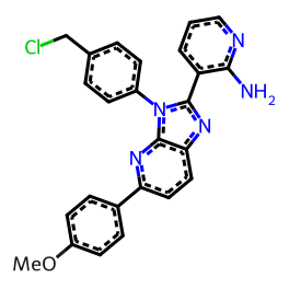 COc1ccc(-c2ccc3nc(-c4cccnc4N)n(-c4ccc(CCl)cc4)c3n2)cc1